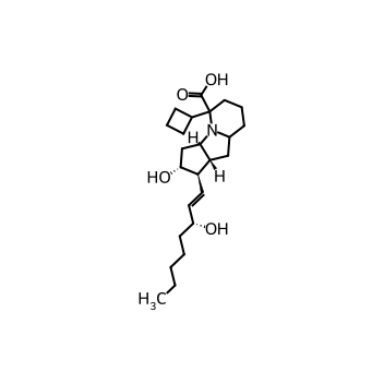 CCCCC[C@@H](O)/C=C/[C@@H]1[C@H]2CC3CCCC(C(=O)O)(C4CCC4)N3[C@@H]2C[C@H]1O